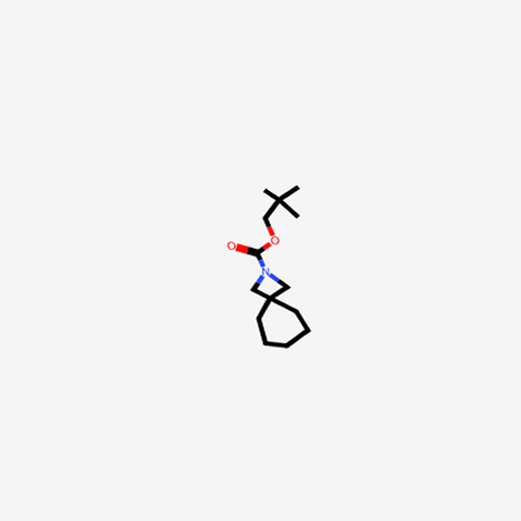 CC(C)(C)COC(=O)N1CC2(CCCCC2)C1